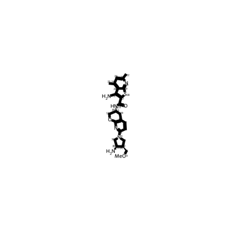 COC[C@@H]1CN(c2ccc3c(n2)OC[C@H](NC(=O)c2sc4nc(C)cc(C)c4c2N)C3)C[C@@H]1N